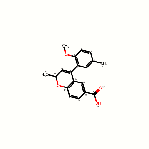 COc1ccc(C)cc1C1=CC(C)Oc2ccc(C(=O)O)cc21